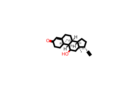 C#C[C@H]1CC[C@H]2[C@@H]3CCC4=CC(=O)CC[C@]4(C)[C@H]3C(O)C[C@]12C